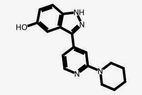 Oc1ccc2[nH]nc(-c3ccnc(N4CCCCC4)c3)c2c1